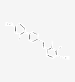 CCCCCc1ccc(/C=C/c2ccc(-c3ccc(OC)cc3F)cc2)c(F)c1F